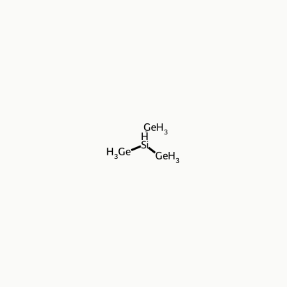 [GeH3][SiH]([GeH3])[GeH3]